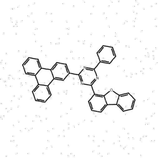 c1ccc(-c2nc(-c3ccc4c5ccccc5c5ccccc5c4c3)nc(-c3cccc4c3oc3ccccc34)n2)cc1